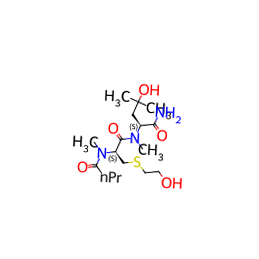 CCCC(=O)N(C)[C@H](CSCCO)C(=O)N(C)[C@@H](CC(C)(C)O)C(N)=O